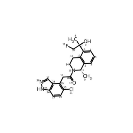 C[C@H]1c2cccc([C@@](C)(O)CF)c2CCN1C(=O)Cc1c(Cl)ccc2[nH]ncc12